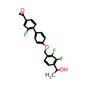 CC(O)c1ccc(COc2ccc(-c3ccc(C4CO4)cc3F)cc2)c(F)c1F